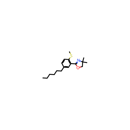 CCCCCCc1ccc(SC)c(C2=NC(C)(C)CO2)c1